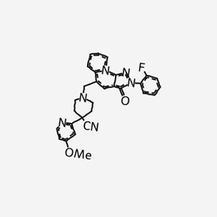 COc1ccnc(C2(C#N)CCN(Cc3cc4c(=O)n(-c5ccccc5F)nc-4n4ccccc34)CC2)c1